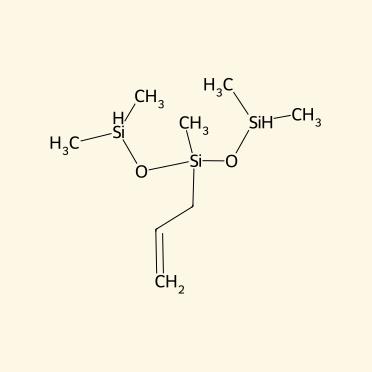 C=CC[Si](C)(O[SiH](C)C)O[SiH](C)C